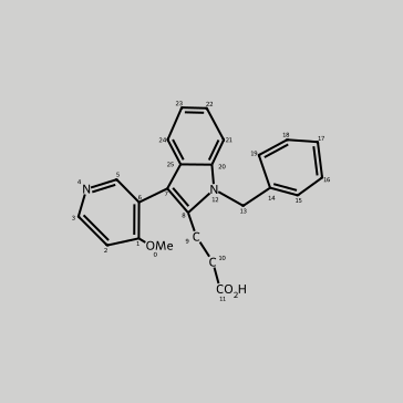 COc1ccncc1-c1c(CCC(=O)O)n(Cc2ccccc2)c2ccccc12